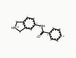 O=C(Nc1ccc2c(c1)CNC2)c1ccccc1